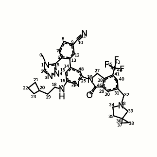 Cn1cnnc1-c1ccc(C#N)cc1-c1cc(NCCC2CCC2)nc(N2Cc3c(cc(CN4CCC5(CC5)C4)cc3C(F)(F)F)C2=O)c1